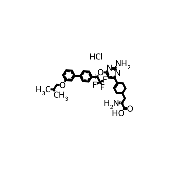 CC(C)COc1cccc(-c2ccc([C@@H](Oc3cc(C4=CCC(C[C@H](N)C(=O)O)CC4)nc(N)n3)C(F)(F)F)cc2)c1.Cl